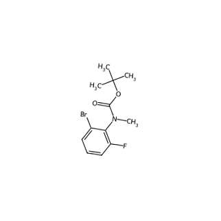 CN(C(=O)OC(C)(C)C)c1c(F)cccc1Br